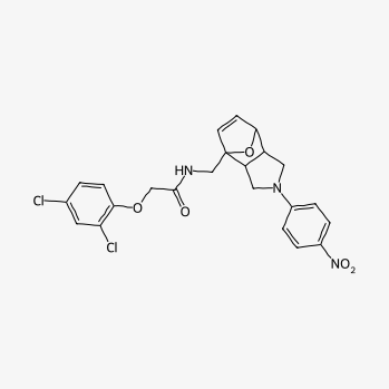 O=C(COc1ccc(Cl)cc1Cl)NCC12C=CC(O1)C1CN(c3ccc([N+](=O)[O-])cc3)CC12